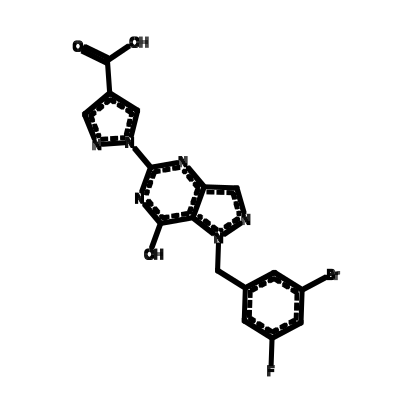 O=C(O)c1cnn(-c2nc(O)c3c(cnn3Cc3cc(F)cc(Br)c3)n2)c1